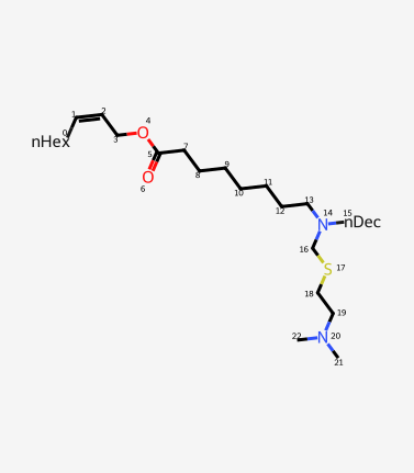 CCCCCC/C=C\COC(=O)CCCCCCCN(CCCCCCCCCC)CSCCN(C)C